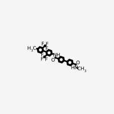 CNC(=O)c1ccc(-c2ccc(C(=O)Nc3ccc(-c4ccc(C)cc4C(F)(F)F)c(C(F)(F)F)c3)cc2)cc1